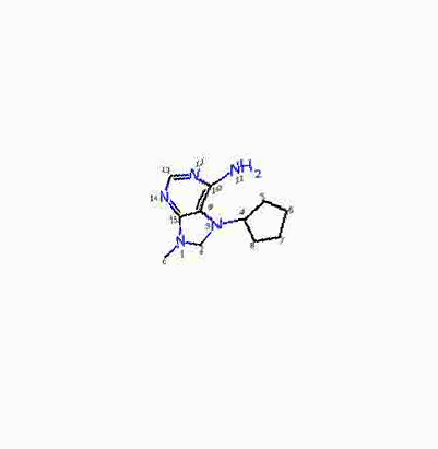 CN1CN(C2CCCC2)c2c(N)ncnc21